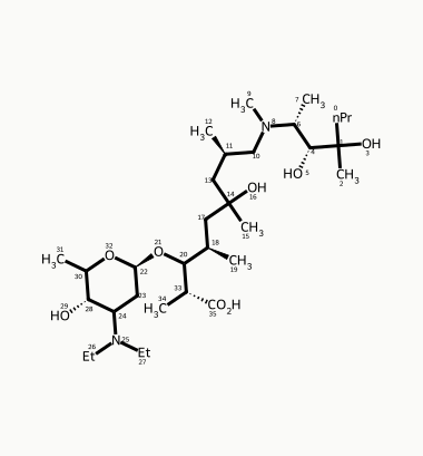 CCCC(C)(O)[C@H](O)[C@@H](C)N(C)C[C@H](C)CC(C)(O)C[C@@H](C)C(O[C@H]1CC(N(CC)CC)[C@H](O)C(C)O1)[C@@H](C)C(=O)O